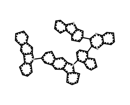 c1ccc2cc3c(cc2c1)c1ccccc1n3-c1ccc2cc3c(cc2c1)c1ccccc1n3-c1ccc(-c2nc3ccccc3nc2-c2ccc3c(c2)sc2ccccc23)c2ccccc12